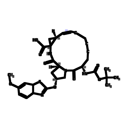 COC1=CC2SC(O[C@@H]3C[C@H]4C(=O)N[C@]5(C(=O)O)C[C@H]5/C=C\CCCCC[C@H](NC(=O)OC(C)(C)C)C(=O)N4C3)=NC2C=C1